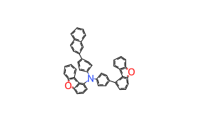 c1ccc2cc(-c3ccc(N(c4ccc(-c5cccc6oc7ccccc7c56)cc4)c4cccc5oc6ccccc6c45)cc3)ccc2c1